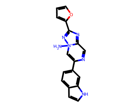 N[N+]12C=C(c3ccc4cc[nH]c4c3)N=CC1=NC(c1ccco1)=N2